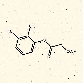 O=C(O)CC(=O)Oc1cccc(C(F)(F)F)c1C(F)(F)F